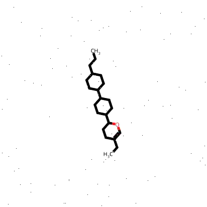 CCCC1CCC(C2CCC(C3CCC(CC)=CO3)CC2)CC1